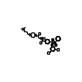 CN(C)CCCN1CCN(C(=O)CNC(=O)c2ccc(S(=O)(=O)N(Oc3ccc(Cl)cc3Cl)c3ccccc3)cc2)CC1